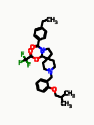 CCc1ccc(C(=O)N2CCC3(CCN(Cc4ccccc4OCC(C)C)CC3)C2OC(=O)C(F)(F)F)cc1